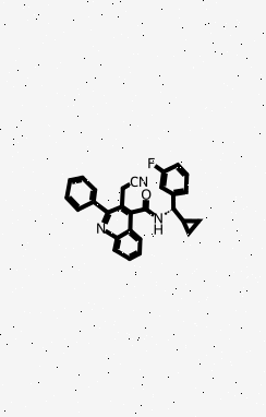 N#CCc1c(-c2ccccc2)nc2ccccc2c1C(=O)N[C@H](c1cccc(F)c1)C1CC1